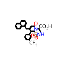 O=C(O)C1CNS(=O)(=O)c2c(-c3cccc(C(F)(F)F)c3)c(Cc3cccc4ccccc34)cc(=O)n21